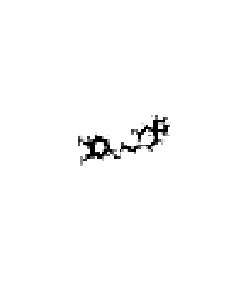 Fc1ccc(OCCN2CCC3(CC2)CSC3)cc1F